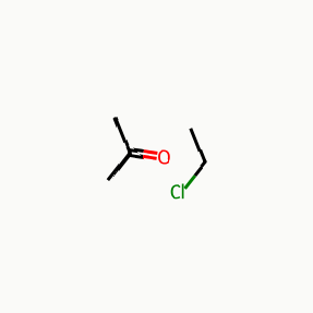 CC(C)=O.CCCl